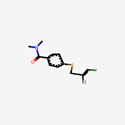 CCC(=CF)CSc1ccc(C(=O)N(C)C)cc1